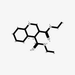 CCOC(=O)C1COC2CCCCC2C1C(=O)OCC